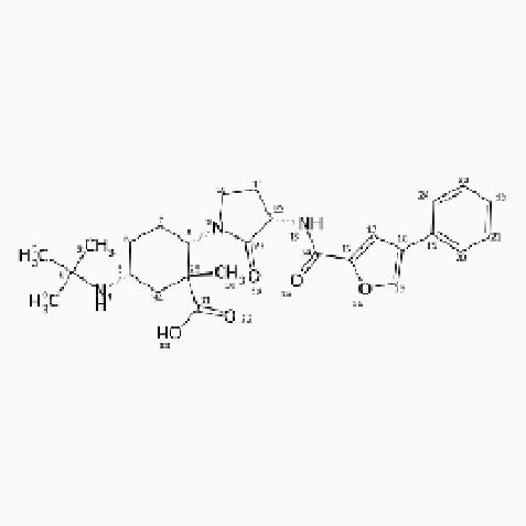 CC(C)(C)N[C@@H]1CC[C@H](N2CC[C@H](NC(=O)c3cc(-c4ccccc4)co3)C2=O)[C@](C)(C(=O)O)C1